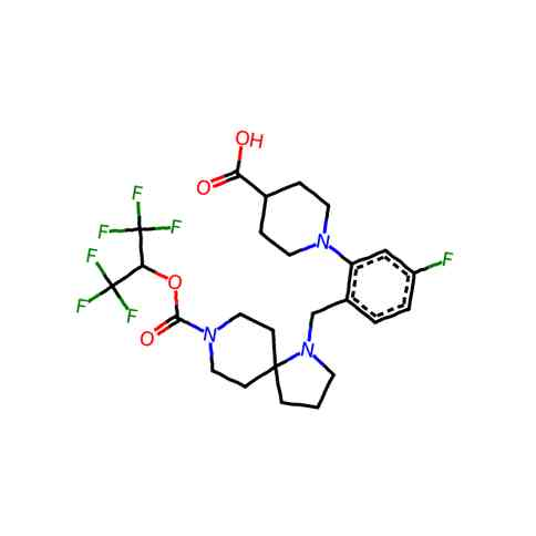 O=C(O)C1CCN(c2cc(F)ccc2CN2CCCC23CCN(C(=O)OC(C(F)(F)F)C(F)(F)F)CC3)CC1